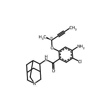 CC#C[C@H](C)Oc1cc(N)c(Cl)cc1C(=O)NC1C2CC3CC1CN(C3)C2